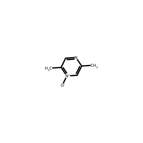 Cc1c[n+]([O-])c(C)cn1